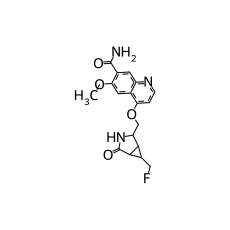 COc1cc2c(OCC3NC(=O)C4C(CF)C34)ccnc2cc1C(N)=O